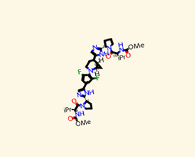 COC(=O)N[C@H](C(=O)N1CCC[C@H]1c1ncc(-c2cc(F)c(N3CCC(c4cnc([C@@H]5CCCN5C(=O)[C@@H](NC(=O)OC)C(C)C)[nH]4)[C@H]4C[C@H]43)c(F)c2)[nH]1)C(C)C